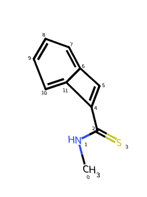 CNC(=S)C1=Cc2ccccc21